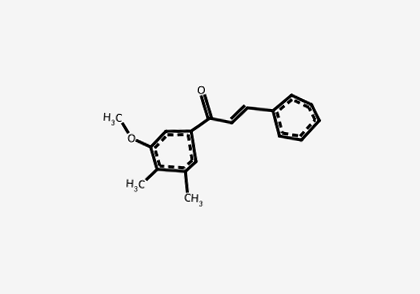 COc1cc(C(=O)/C=C/c2ccccc2)cc(C)c1C